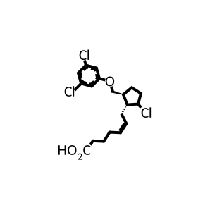 O=C(O)CCC/C=C\C[C@H]1C(Cl)CC[C@@H]1COc1cc(Cl)cc(Cl)c1